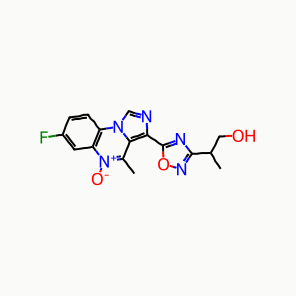 Cc1c2c(-c3nc(C(C)CO)no3)ncn2c2ccc(F)cc2[n+]1[O-]